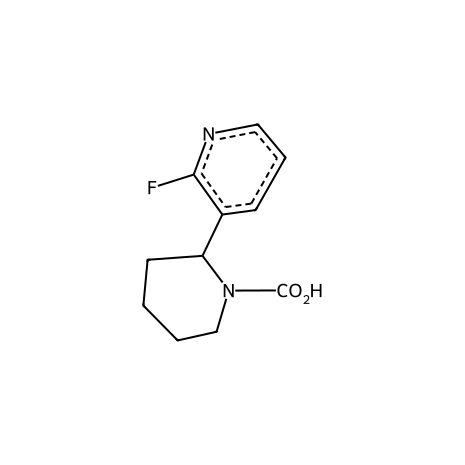 O=C(O)N1CCCCC1c1cccnc1F